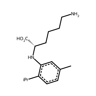 Cc1ccc(C(C)C)c(N[C@@H](CCCCN)C(=O)O)c1